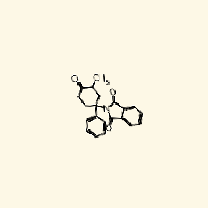 CC1CC(c2ccccc2)(N2C(=O)c3ccccc3C2=O)CCC1=O